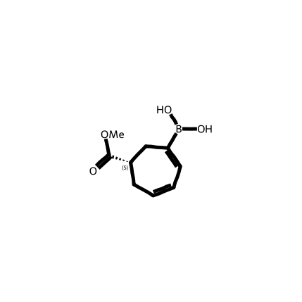 COC(=O)[C@H]1CC=CC=C(B(O)O)C1